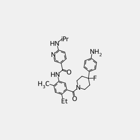 CCc1cc(C)c(NC(=O)c2ccc(NC(C)C)nc2)cc1C(=O)N1CCC(F)(c2ccc(N)cc2)CC1